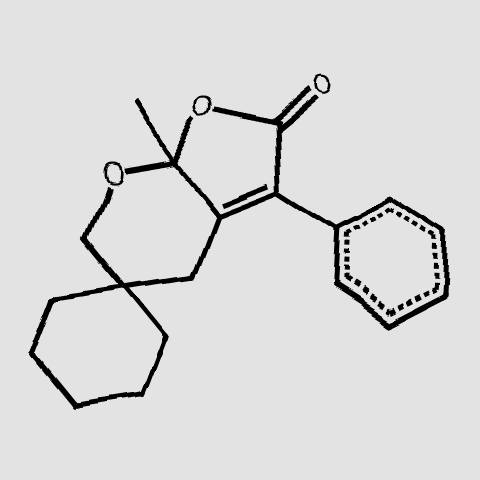 CC12OCC3(CCCCC3)CC1=C(c1ccccc1)C(=O)O2